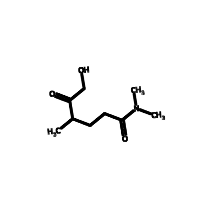 CC(CCC(=O)N(C)C)C(=O)CO